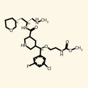 CNC[C@@H](C[C@H]1CCCOC1)NC(=O)C1CNCC([C@@H](OCCNC(=O)OC)c2cc(F)cc(Cl)c2)C1